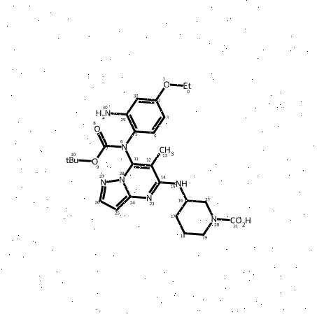 CCOc1ccc(N(C(=O)OC(C)(C)C)c2c(C)c(NC3CCCN(C(=O)O)C3)nc3ccnn23)c(N)c1